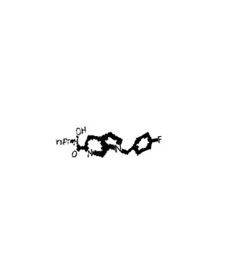 CCCN(O)C(=O)c1cc2ccn(Cc3ccc(F)cc3)c2cn1